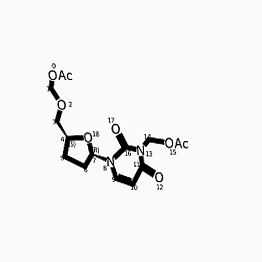 CC(=O)OCOC[C@@H]1CC[C@H](n2ccc(=O)n(COC(C)=O)c2=O)O1